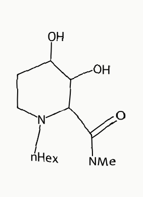 CCCCCCN1CCC(O)C(O)C1C(=O)NC